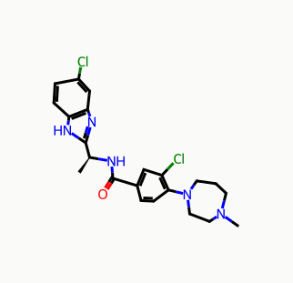 C[C@H](NC(=O)c1ccc(N2CCCN(C)CC2)c(Cl)c1)c1nc2cc(Cl)ccc2[nH]1